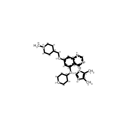 CC1=C(C)[SH](c2ncnc3cc(OCC4CCN(C)CC4)cc(OC4CCOCC4)c23)C=N1